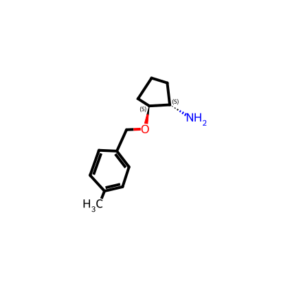 Cc1ccc(CO[C@H]2CCC[C@@H]2N)cc1